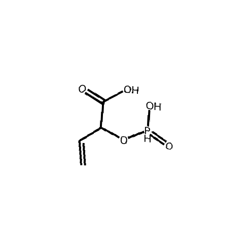 C=CC(O[PH](=O)O)C(=O)O